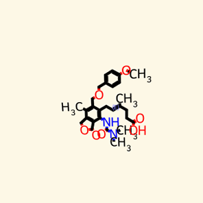 COc1ccc(COCc2c(C)c3c(c(NC(=O)N(C)C)c2C/C=C(\C)CCC(=O)O)C(=O)OC3)cc1